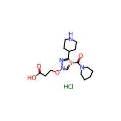 Cl.O=C(O)CCON1C=S(C(=O)N2CCCCC2)C(C2CCNCC2)=N1